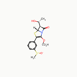 C[C@@H](O)[C@H]1C(=O)N2C(OC(=O)O)=C(c3cccc([S+](C)[O-])c3)S[C@H]12